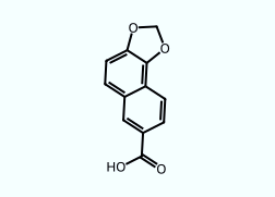 O=C(O)c1ccc2c3c(ccc2c1)OCO3